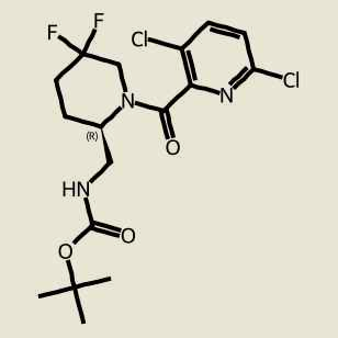 CC(C)(C)OC(=O)NC[C@H]1CCC(F)(F)CN1C(=O)c1nc(Cl)ccc1Cl